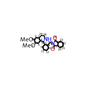 COc1cc2c(cc1OC)C(c1ccccc1CN1C(=O)c3ccccc3C1=O)NCC2